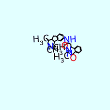 CC1CN(C)C(C)C2c3cc(NC(=O)Cc4nn(C)c(=O)c5ccccc45)ccc3CC12